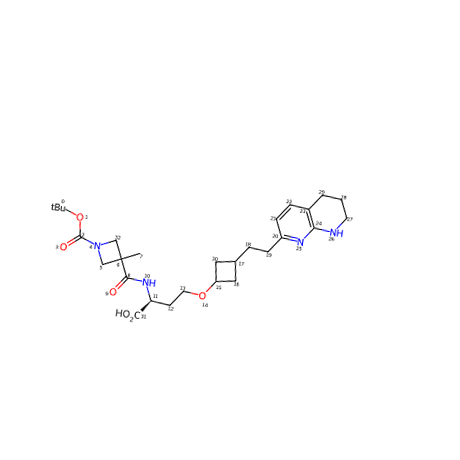 CC(C)(C)OC(=O)N1CC(C)(C(=O)N[C@@H](CCOC2CC(CCc3ccc4c(n3)NCCC4)C2)C(=O)O)C1